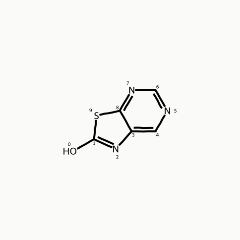 Oc1nc2cncnc2s1